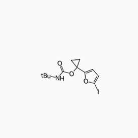 CC(C)(C)NC(=O)OC1(c2ccc(I)o2)CC1